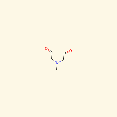 CN(CC=O)CC=O